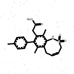 COC(=O)Cc1c(C)c2c(c(C)c1-c1ccc(C)cc1)C/C=C\CS(=O)(=O)N2